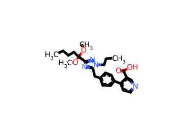 CCCCC(OC)(OC)c1nc(Cc2ccc(-c3ccncc3C(=O)O)cc2)n(CCC)n1